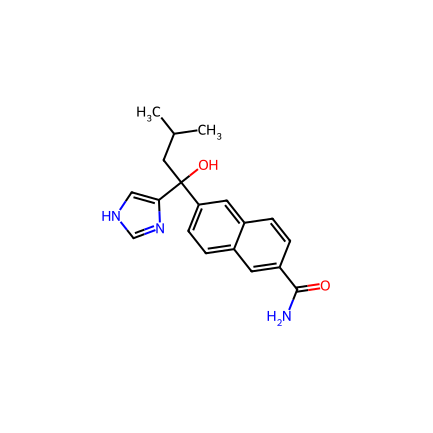 CC(C)CC(O)(c1ccc2cc(C(N)=O)ccc2c1)c1c[nH]cn1